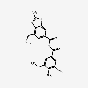 COc1cc(C(=O)OC(=O)c2cc(OC)c3nc(C)sc3c2)cc(S)c1N